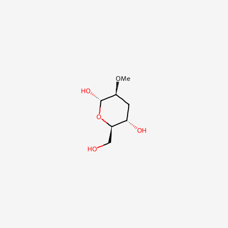 CO[C@H]1C[C@H](O)[C@@H](CO)O[C@@H]1O